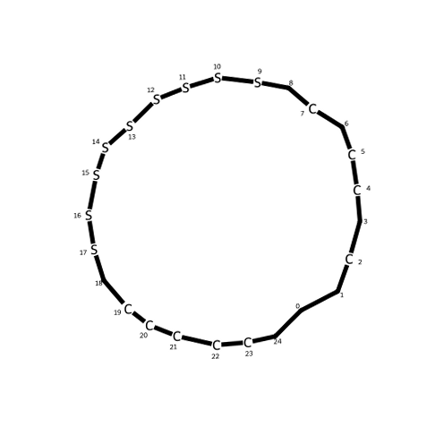 C1CCCCCCCCSSSSSSSSSCCCCCCC1